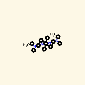 Cc1cccc(N(c2ccccc2)c2ccc3c(c2)c2cccc4c5c(-c6ccccc6)c6c(c(-c7ccccc7)c5n3c24)c2cccc3c4cc(N(c5ccccc5)c5cccc(C)c5)ccc4n6c32)c1